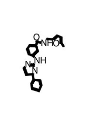 Cc1ccc(CNC(=O)c2cccc(Nc3nccc(-c4ccccc4)n3)c2)o1